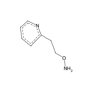 NOCCc1ccccn1